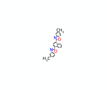 Cc1ccc2oc(-c3ccc(-c4nc5cc(C)ccc5o4)c4ccccc34)nc2c1